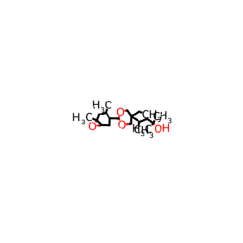 CCC1(C(C)CC(C)(C)O)COC(C2CC3OC3(C)CC2C)OC1